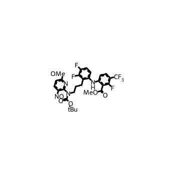 COC(=O)c1c(Nc2ccc(F)c(F)c2CCCN(C(=O)OC(C)(C)C)c2nc(OC)ccc2[N+](=O)[O-])ccc(C(F)(F)F)c1F